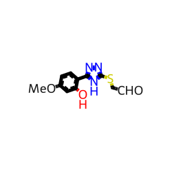 COc1ccc(-c2nnc(SCC=O)[nH]2)c(O)c1